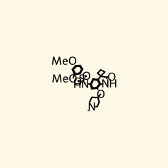 COc1ccc(S(=O)(=O)Nc2cc(OC3CCN(C)CC3)c3c(c2)C2(CCC2)C(=O)N3)c(OC)c1